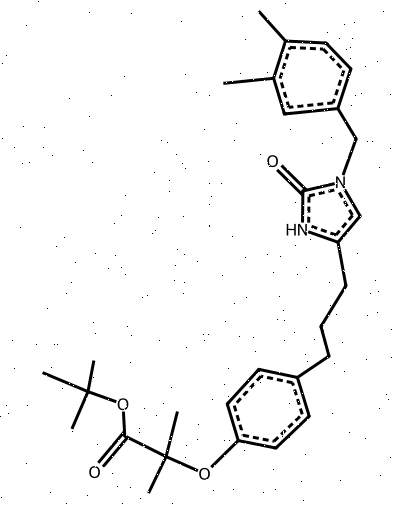 Cc1ccc(Cn2cc(CCCc3ccc(OC(C)(C)C(=O)OC(C)(C)C)cc3)[nH]c2=O)cc1C